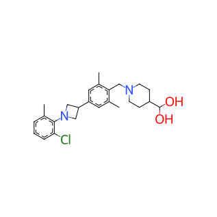 Cc1cc(C2CN(c3c(C)cccc3Cl)C2)cc(C)c1CN1CCC(C(O)O)CC1